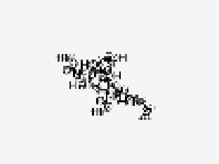 CC(C)(C)OC(=O)N[C@H]1C[C@@H](NC(=O)C2(O)CN(C(=O)OC(C)(C)C)C2)[C@H](O[C@H]2OC[C@](C)(O)C[C@H]2O)[C@@H](O)[C@@H]1O[C@@H]1CCC=C(CNCC2CCC2)O1